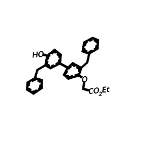 CCOC(=O)COc1ccc(-c2ccc(O)c(Cc3ccccc3)c2)cc1Cc1ccccc1